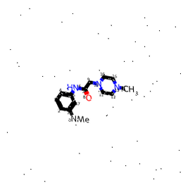 CNc1cccc(NC(=O)CN2CCN(C)CC2)c1